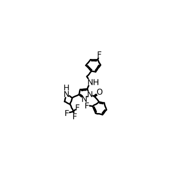 O=C(c1ccccc1F)n1nc(C2NCC2C(F)(F)F)cc1NCc1ccc(F)cc1